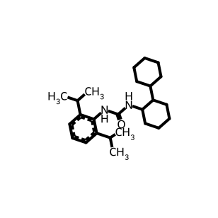 CC(C)c1cccc(C(C)C)c1NC(=O)NC1CCCCC1C1CCCCC1